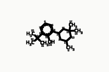 CC1CC(c2cccc(C(C)(C)C)c2O)CC(C)(C)C1